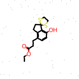 CCOC(=O)CCc1ccc(O)c2c1CCC21SCCS1